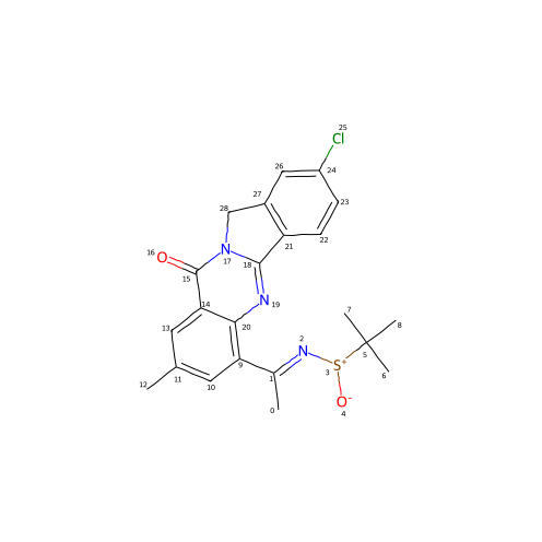 CC(=N[S+]([O-])C(C)(C)C)c1cc(C)cc2c(=O)n3c(nc12)-c1ccc(Cl)cc1C3